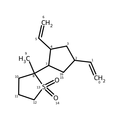 C=CC1CC(C=C)C(C2(C)CCCS2(=O)=O)C1